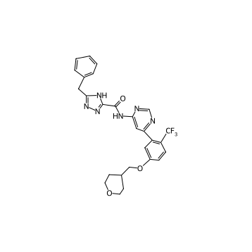 O=C(Nc1cc(-c2cc(OCC3CCOCC3)ccc2C(F)(F)F)ncn1)c1nnc(Cc2ccccc2)[nH]1